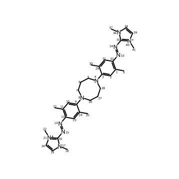 Cc1cc(N2CCCN(c3cc(C)c(N=Nc4n(C)cc[n+]4C)cc3C)CCC2)c(C)cc1N=Nc1n(C)cc[n+]1C